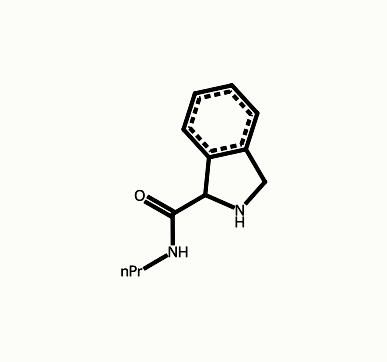 CCCNC(=O)C1NCc2ccccc21